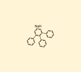 [NaH].c1ccc(-c2cccc(-c3ccccc3)c2-c2ccccc2)cc1